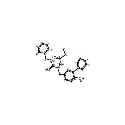 CCC(=O)N[C@@H](Cc1ccc(O)c(-c2ccccc2)c1)C(=O)OCc1ccccc1